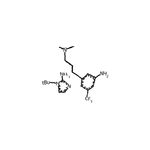 CC(C)(C)n1ccnc1N.CN(C)CCCc1cc(N)cc(C(F)(F)F)c1